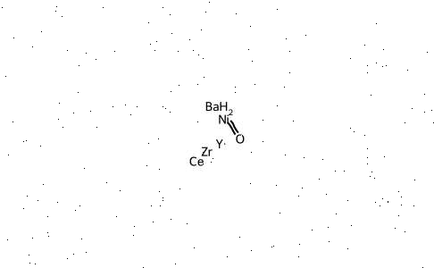 [BaH2].[Ce].[O]=[Ni].[Y].[Zr]